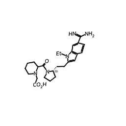 CCn1c(CC[C@@H]2CCCN2C(=O)C2CCCCN2CC(=O)O)cc2ccc(C(=N)N)cc21